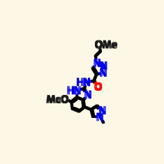 COCCn1cc(C(=O)Nc2nc3c(-c4cnn(C)c4)ccc(OC)c3[nH]2)nn1